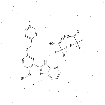 CC(C)Oc1ccc(OCc2ccncc2)cc1-c1nc2cccnc2[nH]1.O=C(O)C(F)(F)F.O=C(O)C(F)(F)F